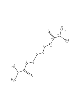 CC(S)C(=O)OCCCCOC(=O)C(C)S